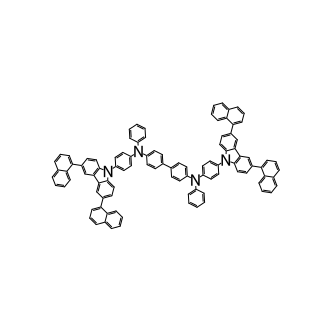 c1ccc(N(c2ccc(-c3ccc(N(c4ccccc4)c4ccc(-n5c6ccc(-c7cccc8ccccc78)cc6c6cc(-c7cccc8ccccc78)ccc65)cc4)cc3)cc2)c2ccc(-n3c4ccc(-c5cccc6ccccc56)cc4c4cc(-c5cccc6ccccc56)ccc43)cc2)cc1